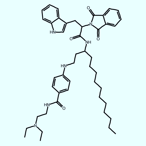 CCCCCCCCCCCC(CCNc1ccc(C(=O)NCCN(CC)CC)cc1)NC(=O)C(Cc1c[nH]c2ccccc12)N1C(=O)c2ccccc2C1=O